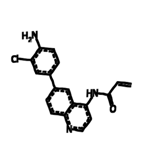 C=CC(=O)Nc1ccnc2ccc(-c3ccc(N)c(Cl)c3)cc12